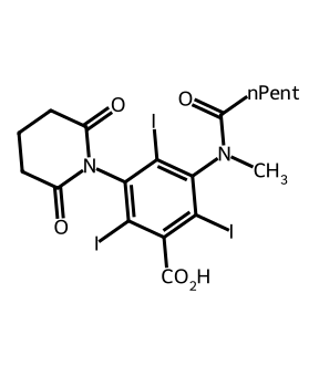 CCCCCC(=O)N(C)c1c(I)c(C(=O)O)c(I)c(N2C(=O)CCCC2=O)c1I